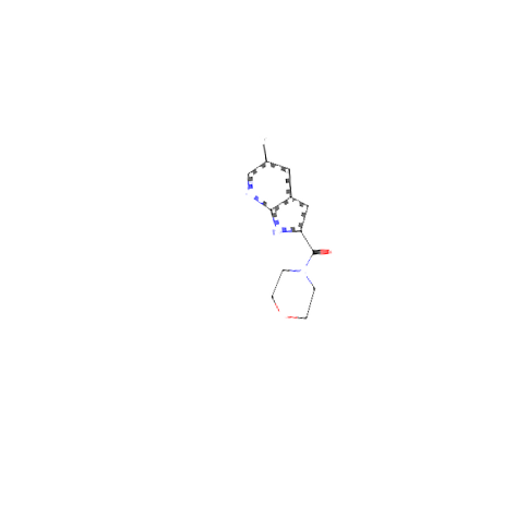 O=C(c1cc2cc([N+](=O)[O-])cnc2[nH]1)N1CCOCC1